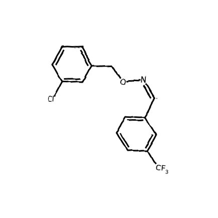 FC(F)(F)c1cccc(/[C]=N\OCc2cccc(Cl)c2)c1